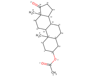 CC(=O)OC1CCC2(C)C(CCC3C4CCC(=O)C4(C)CCC32)C1